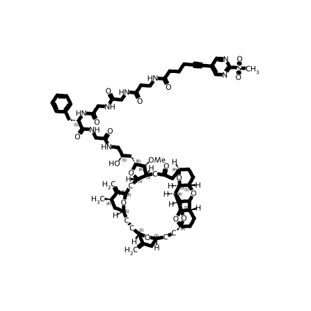 C=C1C[C@@H]2CC[C@@]34CC[C@H]5C6O[C@H]7CC[C@H](CC(=O)C[C@@H]8[C@@H](OC)[C@@H](C[C@H](O)CNC(=O)CNC(=O)[C@H](Cc9ccccc9)NC(=O)CNC(=O)CNC(=O)CCNC(=O)CCCC#Cc9cnc(S(C)(=O)=O)nc9)O[C@H]8C[C@H]8O[C@@H](CC[C@@H]1O2)C[C@@H](C)C8=C)O[C@@H]7[C@H](O3)[C@@H]6C5O4